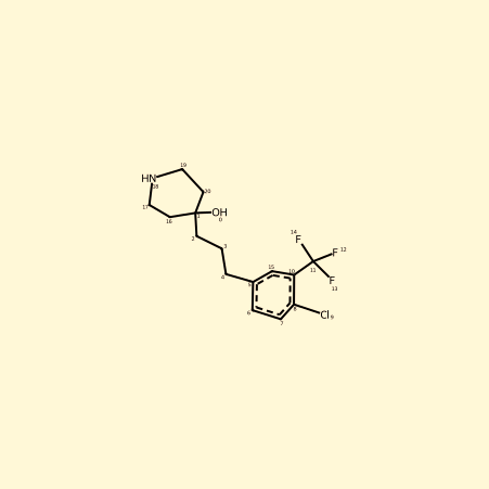 OC1(CCCc2ccc(Cl)c(C(F)(F)F)c2)CCNCC1